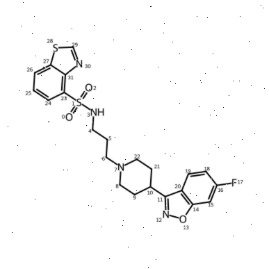 O=S(=O)(NCCCN1CCC(c2noc3cc(F)ccc23)CC1)c1cccc2scnc12